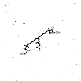 CCCCCCCCCCNC(=O)C(C)(C)CCCCCC(CCCCCC(C)(C)C(=O)NCCCCCCCCCC)OC(=O)CN(C)C